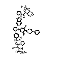 COC(=O)N[C@H](C(=O)N1CCC[C@H]1c1nc2cc([C@H]3CC[C@H](c4ccc5[nH]c([C@@H]6CCCN6C(=O)[C@@H](OC(N)=O)C6CCOCC6)nc5c4)N3c3cc(F)c(N4CCC(c5ccccc5)CC4)c(F)c3)ccc2[nH]1)C(C)C